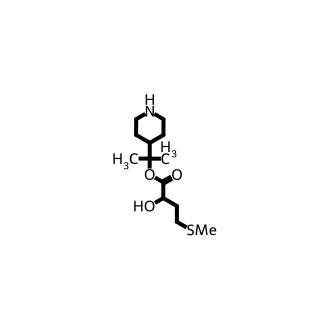 CSCCC(O)C(=O)OC(C)(C)C1CCNCC1